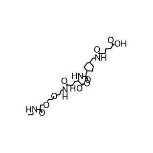 CCNC(=O)COCCOCCNC(=O)CCC(NC(=O)C1CCC(CNC(=O)CCCC(=O)O)CC1)C(=O)O